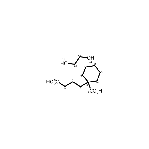 O=C(O)CCCC1(C(=O)O)CCCCC1.OCCO